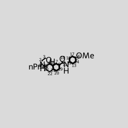 CCCN1CCO[C@@H]2c3cc(C(=O)Nc4ccc(OC)cc4)ccc3CC[C@H]21